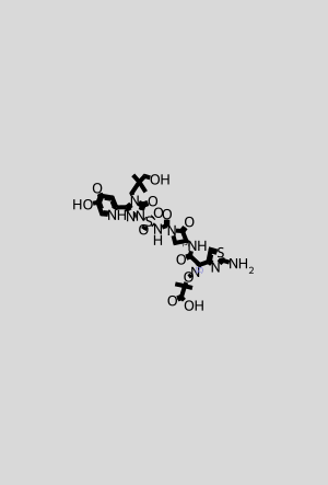 CC(C)(CO)Cn1c(-c2cc(=O)c(O)c[nH]2)nn(S(=O)(=O)NC(=O)N2C[C@H](NC(=O)/C(=N\OC(C)(C)C(=O)O)c3csc(N)n3)C2=O)c1=O